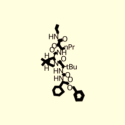 C=CCNC(=O)C(=O)C(CCC)NC(=O)[C@@H]1[C@@H]2[C@H](CN1C(=O)[C@@H](NC(=O)N[C@H](C(=O)OCc1ccccc1)C1CCCCC1)C(C)(C)C)C2(C)C